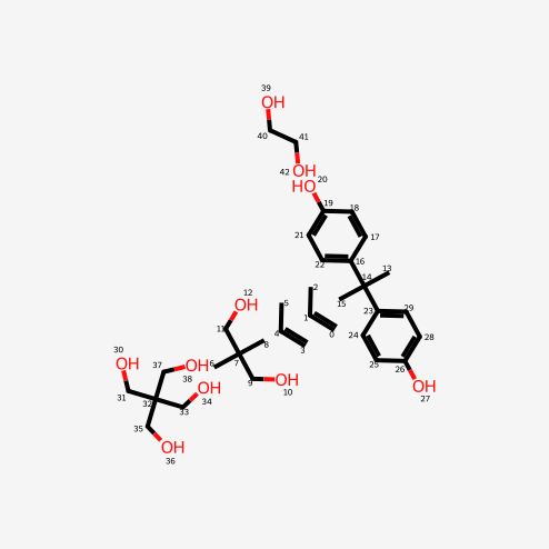 C=CC.C=CC.CC(C)(CO)CO.CC(C)(c1ccc(O)cc1)c1ccc(O)cc1.OCC(CO)(CO)CO.OCCO